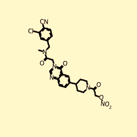 CN(Cc1ccc(C#N)c(Cl)c1)C(=O)Cn1cnc2ccc(C3CCN(C(=O)CO[N+](=O)[O-])CC3)cc2c1=O